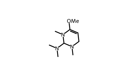 COC1=CCN(C)C(N(C)C)N1C